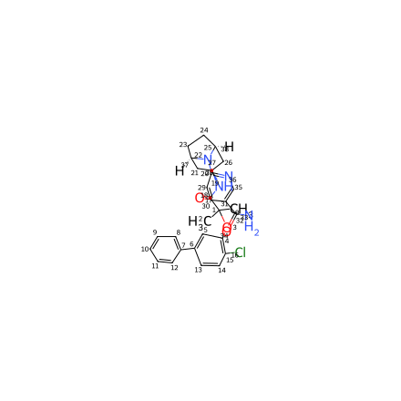 CC(C)(Oc1cc(-c2ccccc2)ccc1Cl)C(=O)N[C@H]1C[C@H]2CC[C@@H](C1)N2c1ccc(C(N)=O)cn1